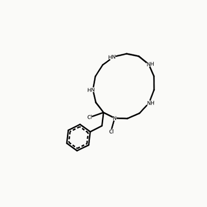 ClN1CCNCCNCCNCCNCC1(Cl)Cc1ccccc1